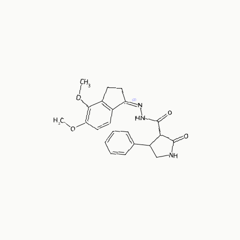 COc1ccc2c(c1OC)CC/C2=N/NC(=O)C1C(=O)NCC1c1ccccc1